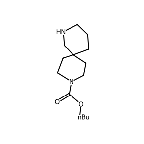 CCCCOC(=O)N1CCC2(CCCNC2)CC1